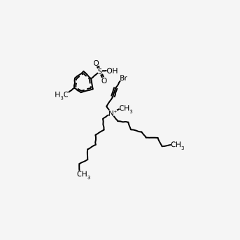 CCCCCCCC[N+](C)(CC#CBr)CCCCCCCC.Cc1ccc(S(=O)(=O)O)cc1